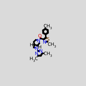 Cc1ccc(-c2sc(C)nc2C(=O)N2CC[C@H]3CN(c4nc(C)cc(C)n4)[C@H]3C2)cc1